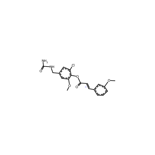 COc1cccc(/C=C/C(=O)Oc2c(Cl)cc(CNC(N)=O)cc2OC)c1